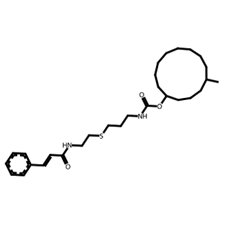 CC1CCCCCCCCC(OC(=O)NCCCSCCNC(=O)/C=C/c2ccccc2)CCC1